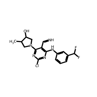 CC1CN(c2nc(Cl)nc(Nc3cccc(C(F)F)c3)c2C=N)CC1O